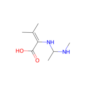 CNC(C)NC(C(=O)O)=C(C)C